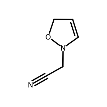 N#CCN1C=CCO1